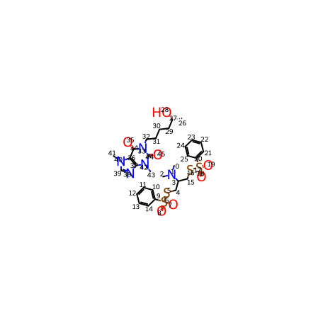 CN(C)C(CSS(=O)(=O)c1ccccc1)CSS(=O)(=O)c1ccccc1.C[C@@H](O)CCCCn1c(=O)c2c(ncn2C)n(C)c1=O